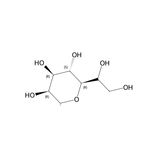 OCC(O)[C@H]1O[CH][C@@H](O)[C@@H](O)[C@@H]1O